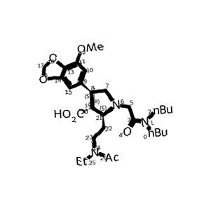 CCCCN(CCCC)C(=O)CN1C[C@H](c2cc(OC)c3c(c2)OCO3)[C@@H](C(=O)O)[C@@H]1CCN(CC)C(C)=O